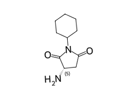 N[C@H]1CC(=O)N(C2CCCCC2)C1=O